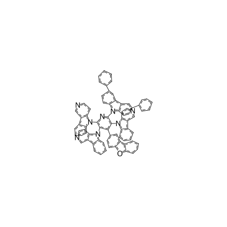 c1ccc(-c2ccc3c(c2)c2cc(-c4ccccc4)ccc2n3-c2nc(-n3c4ccccc4c4cnccc43)c(-n3c4ccccc4c4cnccc43)c(-c3ccc4oc5ccccc5c4c3)c2-n2c3ccccc3c3cnccc32)cc1